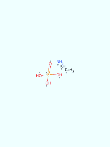 N.O=P(O)(O)O.[CaH2].[KH]